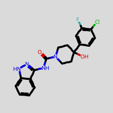 O=C(Nc1n[nH]c2ccccc12)N1CCC(O)(c2ccc(Cl)c(F)c2)CC1